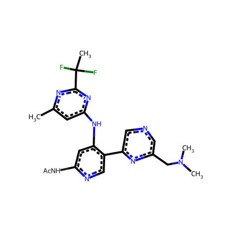 CC(=O)Nc1cc(Nc2cc(C)nc(C(C)(F)F)n2)c(-c2cncc(CN(C)C)n2)cn1